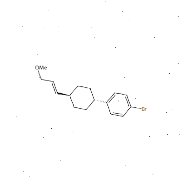 COCC=C[C@H]1CC[C@H](c2ccc(Br)cc2)CC1